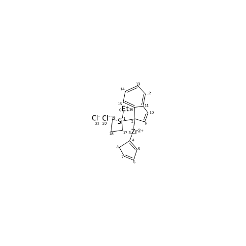 CC[Si]1([C]2([Zr+2][C]3=CC=CC3)C=Cc3ccccc32)CCC1.[Cl-].[Cl-]